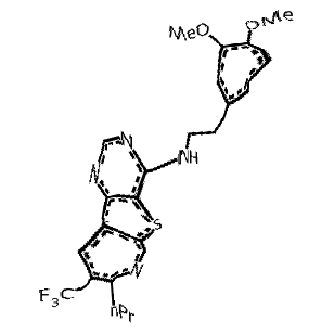 CCCc1nc2sc3c(NCCc4ccc(OC)c(OC)c4)ncnc3c2cc1C(F)(F)F